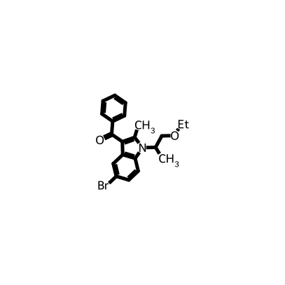 CCOCC(C)n1c(C)c(C(=O)c2ccccc2)c2cc(Br)ccc21